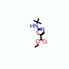 CCOC(=O)c1cnc(NC(C)(C)C)s1